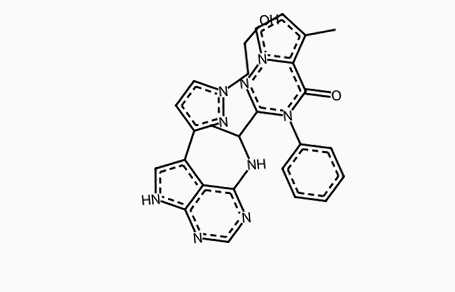 Cc1ccn2nc(C(C)Nc3ncnc4[nH]cc(-c5ccn(CCO)n5)c34)n(-c3ccccc3)c(=O)c12